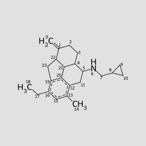 C=C1CCC2C(NCC3CC3)Cc3c(C)cc(CC)c4c3C2C1C4